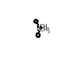 CC(C)N(CCc1ccccc1)CCc1ccccc1